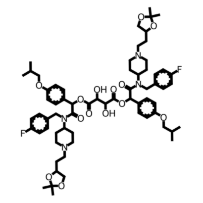 CC(C)COc1ccc(C(OC(=O)C(O)C(O)C(=O)OC(C(=O)N(Cc2ccc(F)cc2)C2CCN(CCC3COC(C)(C)O3)CC2)c2ccc(OCC(C)C)cc2)C(=O)N(Cc2ccc(F)cc2)C2CCN(CCC3COC(C)(C)O3)CC2)cc1